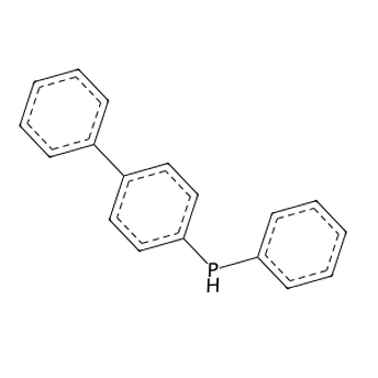 c1ccc(Pc2ccc(-c3ccccc3)cc2)cc1